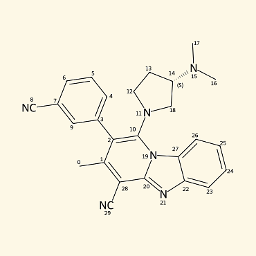 Cc1c(-c2cccc(C#N)c2)c(N2CC[C@H](N(C)C)C2)n2c(nc3ccccc32)c1C#N